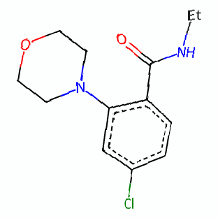 CCNC(=O)c1ccc(Cl)cc1N1CCOCC1